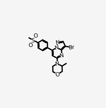 CC1COCCN1c1cc(-c2ccc(S(C)(=O)=O)cc2)n2ncc(Br)c2n1